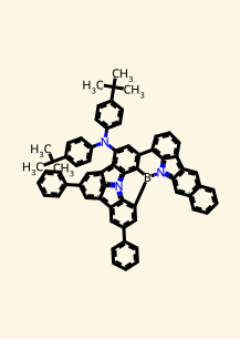 CC(C)(C)c1ccc(N(c2ccc(C(C)(C)C)cc2)c2cc3c4c5c2c2cc(-c6ccccc6)cc6c7cc(-c8ccccc8)cc(c7n5c62)B4n2c4cc5ccccc5cc4c4cccc-3c42)cc1